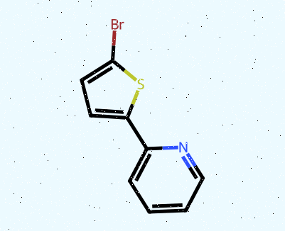 Brc1ccc(-c2ccccn2)s1